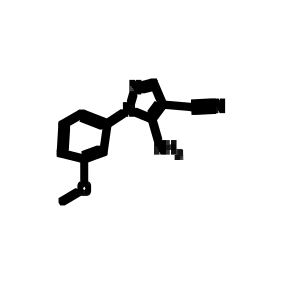 COc1cccc(-n2ncc(C#N)c2N)c1